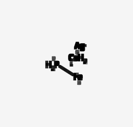 [Ag].[CaH2].[PH2][Fe]